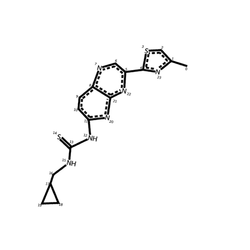 Cc1csc(-c2cnc3ccc(NC(=S)NCC4CC4)nc3n2)n1